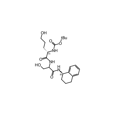 CC(C)(C)OC(=O)N[C@@H](CCCO)C(=O)NC(CO)C(=O)N[C@@H]1CCCc2ccccc21